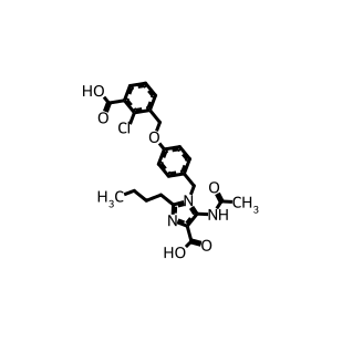 CCCCc1nc(C(=O)O)c(NC(C)=O)n1Cc1ccc(OCc2cccc(C(=O)O)c2Cl)cc1